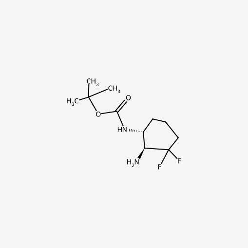 CC(C)(C)OC(=O)N[C@@H]1CCCC(F)(F)[C@H]1N